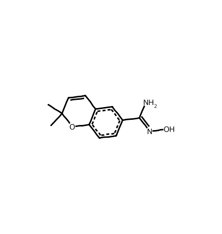 CC1(C)C=Cc2cc(/C(N)=N/O)ccc2O1